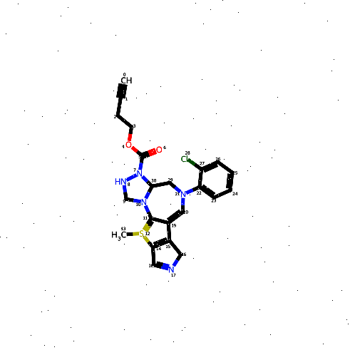 C#CCCOC(=O)N1NCN2C3=S(C)C4=C(CN=C4)C3=CN(c3ccccc3Cl)CC21